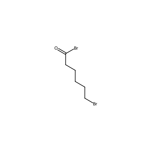 O=C(Br)CCCCCBr